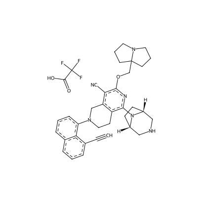 C#Cc1cccc2cccc(N3CCc4c(N5[C@@H]6CC[C@H]5CNC6)nc(OCC56CCCN5CCC6)c(C#N)c4C3)c12.O=C(O)C(F)(F)F